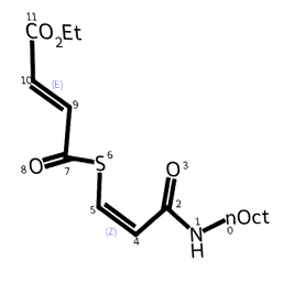 CCCCCCCCNC(=O)/C=C\SC(=O)/C=C/C(=O)OCC